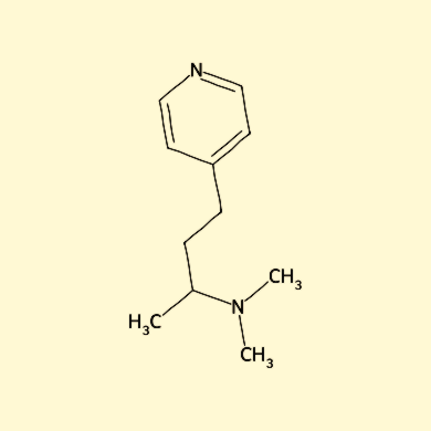 CC(CCc1ccncc1)N(C)C